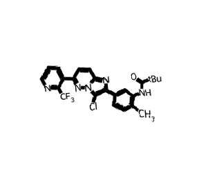 Cc1ccc(-c2nc3ccc(-c4cccnc4C(F)(F)F)nn3c2Cl)cc1NC(=O)C(C)(C)C